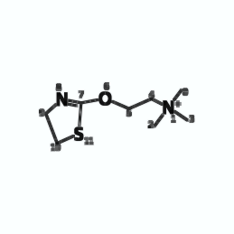 C[N+](C)(C)CCOC1=NCCS1